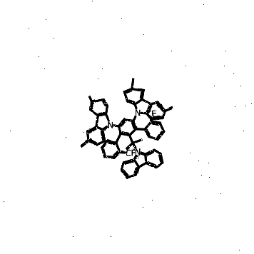 Cc1ccc2c(c1)c1cc(C)ccc1n2-c1cc(-n2c3ccc(C)cc3c3cc(C)ccc32)c(-c2ccccc2C(F)(F)F)c(C(C)(C)n2c3ccccc3c3ccccc32)c1-c1ccccc1C(F)(F)F